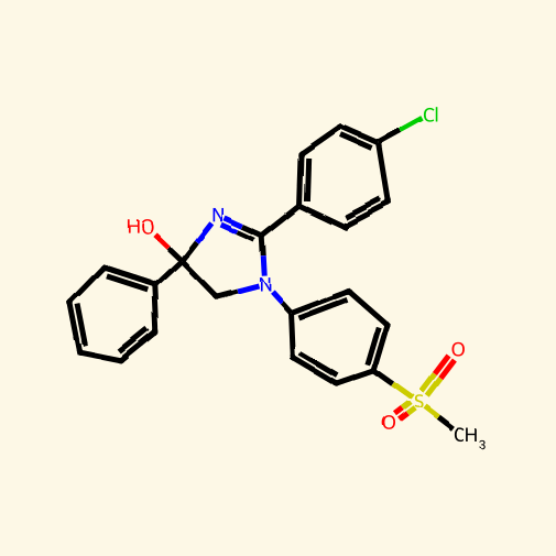 CS(=O)(=O)c1ccc(N2CC(O)(c3ccccc3)N=C2c2ccc(Cl)cc2)cc1